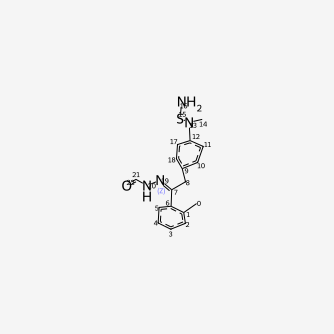 Cc1ccccc1/C(Cc1ccc(N(C)SN)cc1)=N\NC=O